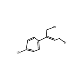 CC(C)(C)c1ccc(C(=CCBr)CBr)cc1